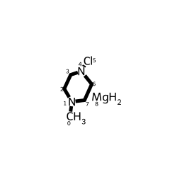 CN1CCN(Cl)CC1.[MgH2]